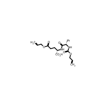 C=CCOC(=O)CC[C@H](NC(=O)[C@@H](NC(=O)OCC=C)C(C)C)C(=O)O